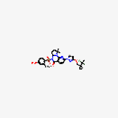 COc1cc(O)ccc1S(=O)(=O)NC(=O)c1ccc(-n2ccc(OCC3(C(C)(F)F)CC3)n2)nc1N1CCCC1(C)C